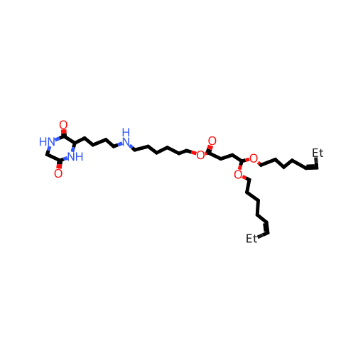 CC/C=C\CCCCOC(CCC(=O)OCCCCCCNCCCCC1NC(=O)CNC1=O)OCCCC/C=C\CC